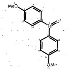 COc1ccc([Te](=O)c2ccc(OC)cc2)cc1